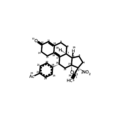 C#C[C@]1([N+](=O)[O-])CC[C@H]2[C@@H]3CCC4=CC(=O)CCC4=C3[C@@H](c3ccc(C(C)=O)cc3)C[C@@]21C